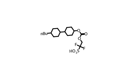 CCCCC1CCC(C2CCC(OC(=O)OCC(F)(F)S(=O)(=O)O)CC2)CC1